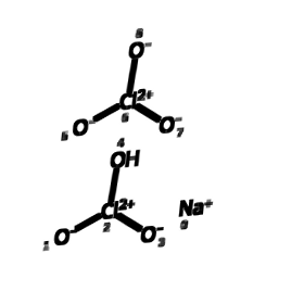 [Na+].[O-][Cl+2]([O-])O.[O-][Cl+2]([O-])[O-]